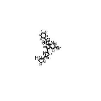 O=S(=O)(c1ccccc1)n1cc(-c2csc(C3CCCN3)n2)c2cc(Br)cnc21